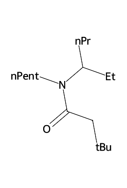 CCCCCN(C(=O)CC(C)(C)C)C(CC)CCC